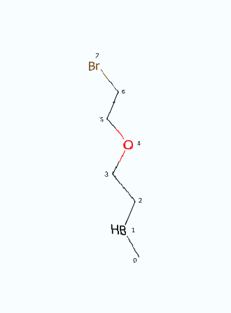 CBCCOCCBr